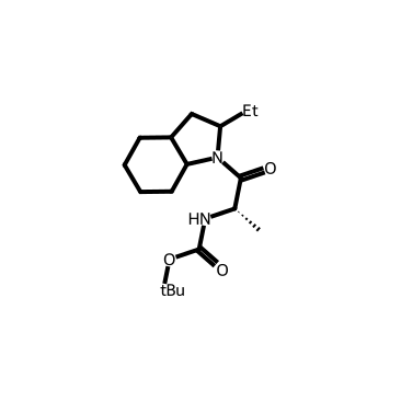 [CH2]CC1CC2CCCCC2N1C(=O)[C@H](C)NC(=O)OC(C)(C)C